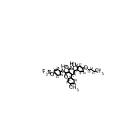 Cc1ccc(-c2cc(-c3ccc(OCCCC(F)(F)F)cc3Cl)[nH]c(=O)c2C(=O)Nc2ccc(OC(F)(F)F)cc2)cc1